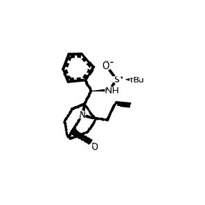 C=CCN1C(=O)C2CCC1([C@H](N[S@+]([O-])C(C)(C)C)c1ccccc1)CC2